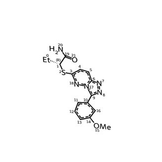 CC[C@@H](Sc1ccc2nnc(-c3cccc(OC)c3)n2n1)C(N)=O